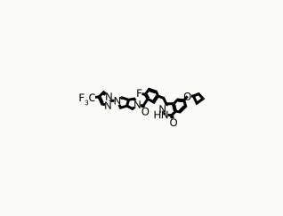 O=C(c1cc(Cc2n[nH]c(=O)c3ccc(OC4CCC4)cc23)ccc1F)N1CC2CN(c3ncc(C(F)(F)F)cn3)CC2C1